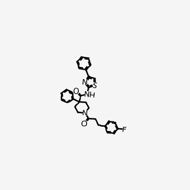 O=C(CCc1ccc(F)cc1)N1CCC(C(=O)Nc2nc(-c3ccccc3)cs2)(c2ccccc2)CC1